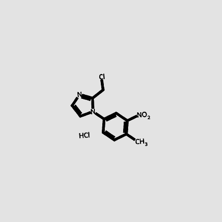 Cc1ccc(-n2ccnc2CCl)cc1[N+](=O)[O-].Cl